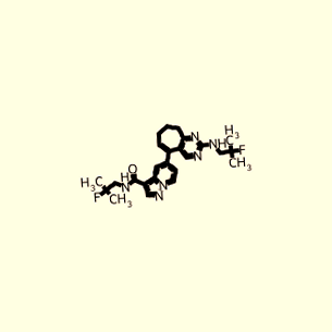 CC(C)(F)CNC(=O)c1cnn2ccc(C3=CCCCc4nc(NCC(C)(C)F)ncc43)cc12